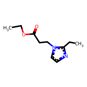 CCOC(=O)CCn1ccnc1CC